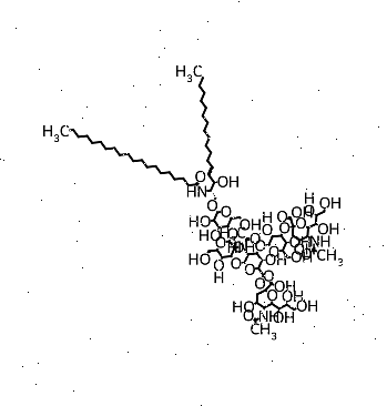 CCCCCCCCCCCCC/C=C/[C@@H](O)[C@H](CO[C@@H]1OC(CO)[C@@H](O[C@@H]2OC(CO)[C@H](O)[C@H](O[C@@H]3OC(CO[C@]4(C(=O)O)CC(O)[C@@H](NC(C)=O)C([C@H](O)[C@H](O)CO)O4)[C@@H](O)[C@H](O[C@@H]4OC(CO)[C@H](O)[C@H](O[C@]5(C(=O)O)CC(O)[C@@H](NC(C)=O)C([C@H](O)[C@H](O)CO)O5)C4O)C3NC(C)=O)C2O)[C@H](O)C1O)NC(=O)CCCCCCCCCCCCCCCCCCC